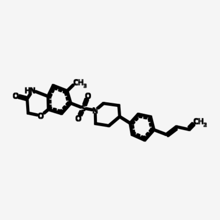 C=C/C=C/c1ccc(C2CCN(S(=O)(=O)c3cc4c(cc3C)NC(=O)CO4)CC2)cc1